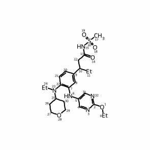 CCOc1ncc(Nc2cc(C(CC)CC(=O)NS(C)(=O)=O)ccc2N(CC)C2CCOCC2)cn1